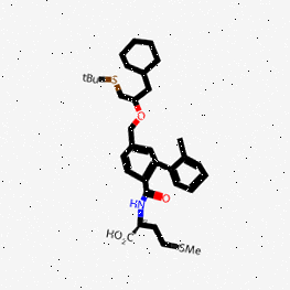 CSCC[C@H](NC(=O)c1ccc(COC(CSC(C)(C)C)CC2CCCCC2)cc1-c1ccccc1C)C(=O)O